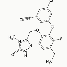 [C-]#[N+]c1cc(Cl)cc(Oc2c(OCc3n[nH]c(=O)n3C)ccc(CC)c2F)c1